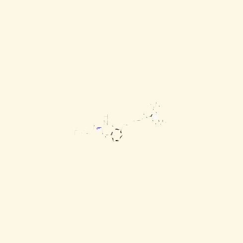 CN/C(=N/C#N)NCCSCc1cccc(N/C(N)=N\CC(F)(F)F)n1